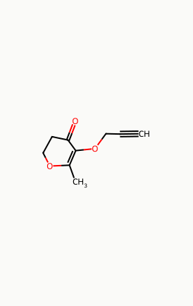 C#CCOC1=C(C)OCCC1=O